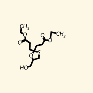 CCOC(=O)CCC1(CCC(=O)OCC)OC(CO)CS1